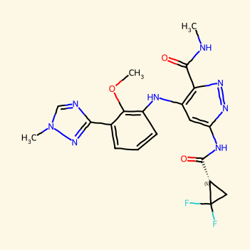 CNC(=O)c1nnc(NC(=O)[C@@H]2CC2(F)F)cc1Nc1cccc(-c2ncn(C)n2)c1OC